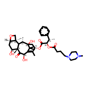 CC1=C2[C@@H](O)C(=O)[C@@]3(C)C([C@H](C)[C@](O)(C[C@@H]1OC(=O)[C@H](OC(=O)CCCN1CCN(C)CC1)[C@@H](C)c1ccccc1)C2(C)C)[C@]1(C)CO[C@@H]1C[C@@H]3O